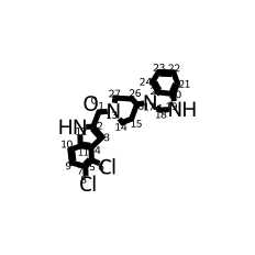 O=C(c1cc2c(Cl)c(Cl)ccc2[nH]1)N1CCC(N2[CH]Nc3ccccc32)CC1